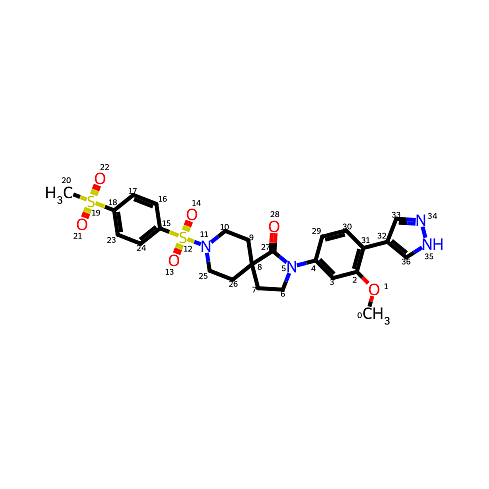 COc1cc(N2CCC3(CCN(S(=O)(=O)c4ccc(S(C)(=O)=O)cc4)CC3)C2=O)ccc1-c1cn[nH]c1